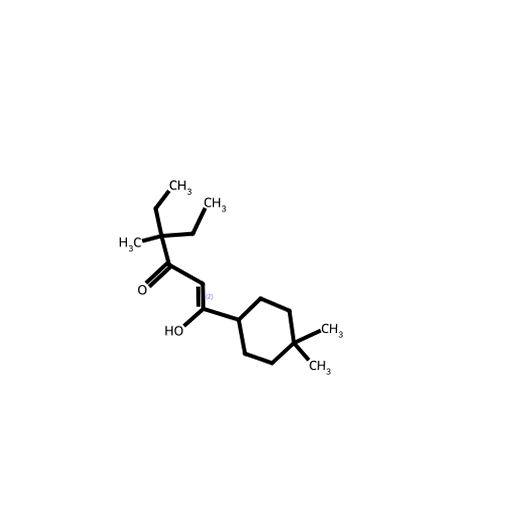 CCC(C)(CC)C(=O)/C=C(\O)C1CCC(C)(C)CC1